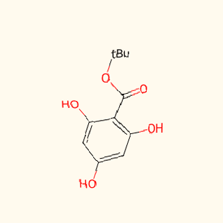 CC(C)(C)OC(=O)c1c(O)cc(O)cc1O